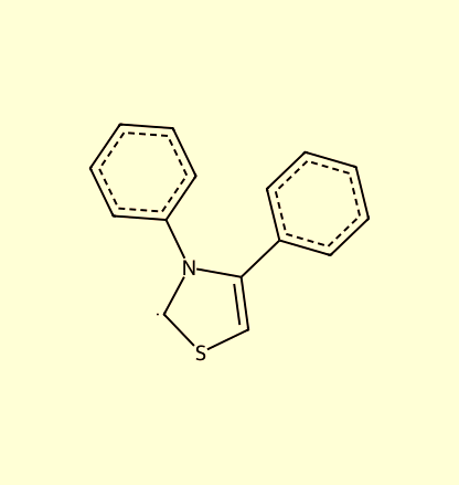 [CH]1SC=C(c2ccccc2)N1c1ccccc1